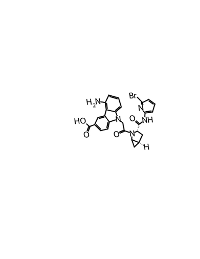 Nc1cccc2c1c1cc(C(=O)O)ccc1n2CC(=O)N1C2C[C@@H]2C[C@H]1C(=O)Nc1cccc(Br)n1